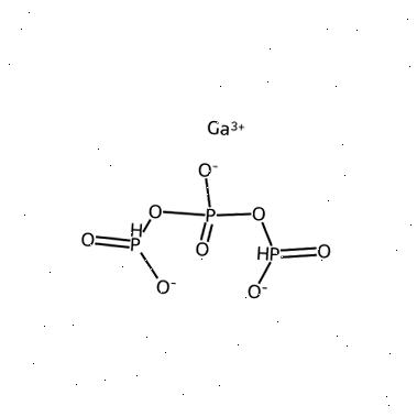 O=[PH]([O-])OP(=O)([O-])O[PH](=O)[O-].[Ga+3]